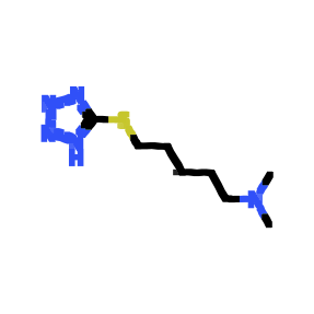 CN(C)CC[CH]CCSc1nnn[nH]1